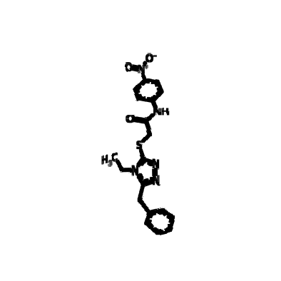 CCn1c(Cc2ccccc2)nnc1SCC(=O)Nc1ccc([N+](=O)[O-])cc1